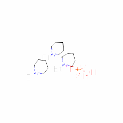 CCN1CCCCC1.CCN1CCCCC1.CCN1CCCCC1.O=P(O)(O)O